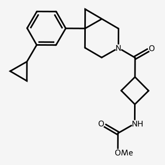 COC(=O)NC1CC(C(=O)N2CCC3(c4cccc(C5CC5)c4)CC3C2)C1